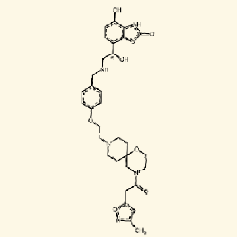 Cc1cc(CC(=O)N2CCOC3(CCN(CCOc4ccc(CNC[C@H](O)c5ccc(O)c6[nH]c(=O)sc56)cc4)CC3)C2)on1